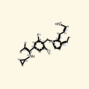 C/C=c1/ccn(Cc2c(F)cc(C(NC3CC3)=C(C)C)cc2Cl)/c1=C/C=C\CCC